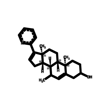 CC1C=C2CC(O)CC[C@]2(C)[C@H]2CC[C@]3(C)C(c4ccccn4)=CC[C@H]3[C@H]12